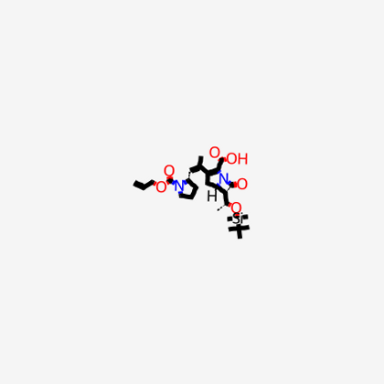 C=CCOC(=O)N1CCC[C@H]1/C=C(/C)C1=C(C(=O)O)N2C(=O)[C@H]([C@@H](C)O[Si](C)(C)C(C)(C)C)[C@H]2C1